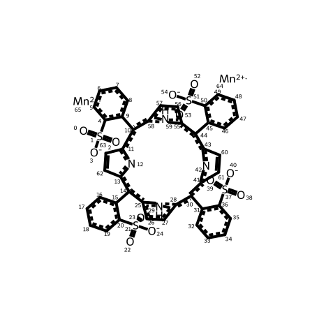 O=S(=O)([O-])c1ccccc1-c1c2nc(c(-c3ccccc3S(=O)(=O)[O-])c3ccc([nH]3)c(-c3ccccc3S(=O)(=O)[O-])c3nc(c(-c4ccccc4S(=O)(=O)[O-])c4ccc1[nH]4)C=C3)C=C2.[Mn+2].[Mn+2]